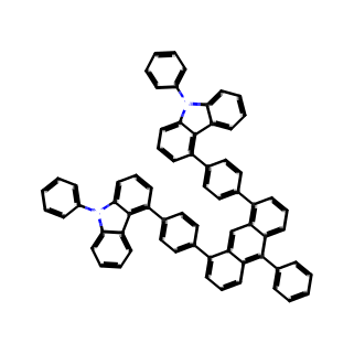 c1ccc(-c2c3cccc(-c4ccc(-c5cccc6c5c5ccccc5n6-c5ccccc5)cc4)c3cc3c(-c4ccc(-c5cccc6c5c5ccccc5n6-c5ccccc5)cc4)cccc23)cc1